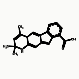 CC1=CC(C)(C)NC2=CC3=Cc4c(C(=O)O)cccc4C3=CC12